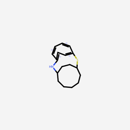 C1=C\C2=C/C=C(\C=C/1)SC1CCCCCC(CC1)N2